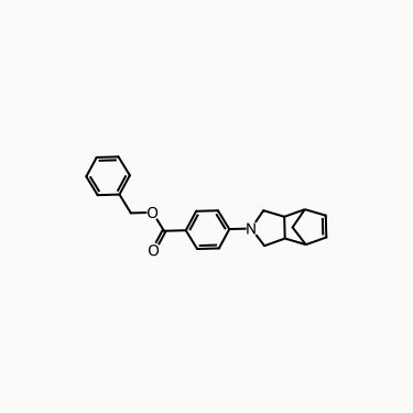 O=C(OCc1ccccc1)c1ccc(N2CC3C4C=CC(C4)C3C2)cc1